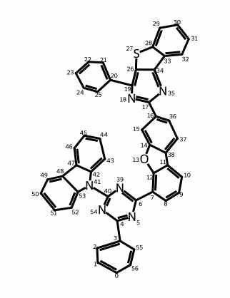 c1ccc(-c2nc(-c3cccc4c3oc3cc(-c5nc(-c6ccccc6)c6sc7ccccc7c6n5)ccc34)nc(-n3c4ccccc4c4ccccc43)n2)cc1